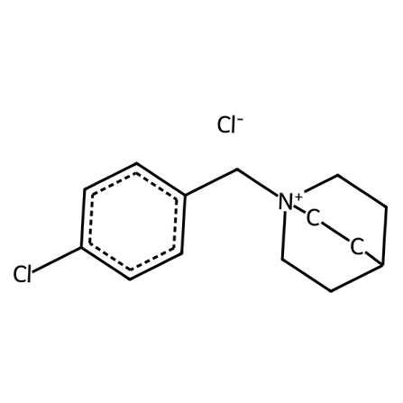 Clc1ccc(C[N+]23CCC(CC2)CC3)cc1.[Cl-]